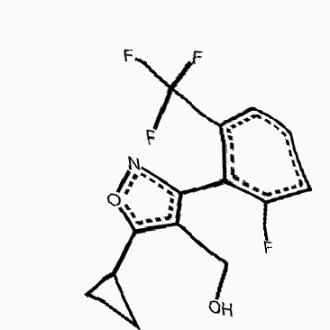 OCc1c(-c2c(F)cccc2C(F)(F)F)noc1C1CC1